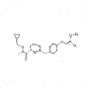 CCO/C(=C\Oc1ccc(Cc2cccc(C(=O)N(C)OCC3CC3)n2)cc1)C(F)(F)F